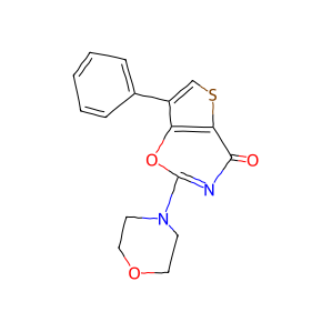 O=c1nc(N2CCOCC2)oc2c(-c3ccccc3)csc12